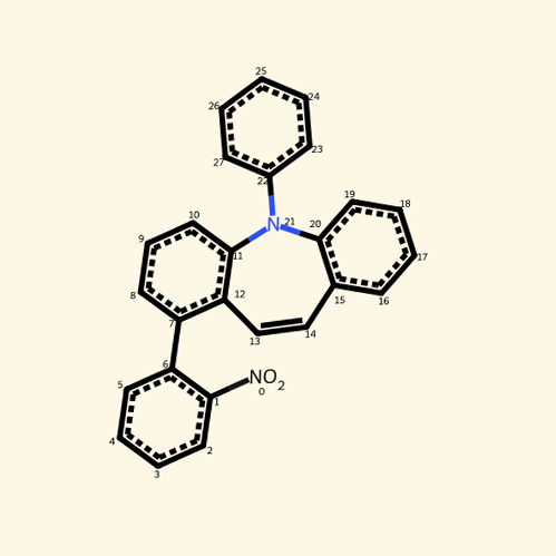 O=[N+]([O-])c1ccccc1-c1cccc2c1C=Cc1ccccc1N2c1ccccc1